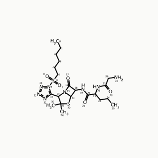 CCCCCCS(=O)(=O)n1nnnc1C1N2C(=O)C(NC(=O)C(CCC)NC(=O)CN)C2SC1(C)C